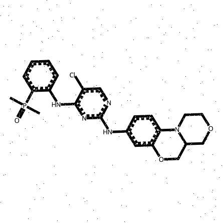 CP(C)(=O)c1ccccc1Nc1nc(Nc2ccc3c(c2)OCC2COCCN32)ncc1Cl